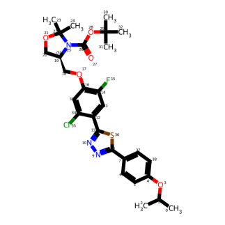 CC(C)Oc1ccc(-c2nnc(-c3cc(F)c(OC[C@H]4COC(C)(C)N4C(=O)OC(C)(C)C)cc3Cl)s2)cc1